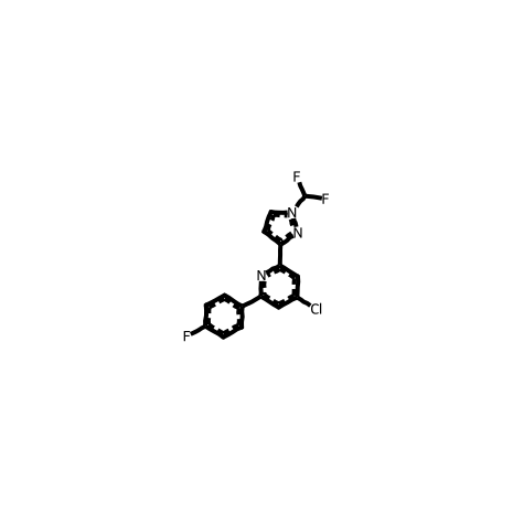 Fc1ccc(-c2cc(Cl)cc(-c3ccn(C(F)F)n3)n2)cc1